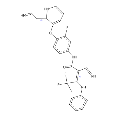 N=C/C=C1\NC=CC=C1Oc1ccc(NC(=O)/C(C=N)=C(/Nc2ccccc2)C(F)(F)F)cc1F